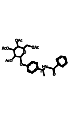 CC(=O)OCC1OC(Oc2ccc([C@H](C)NC(=O)c3ccccc3)cc2)C(OC(C)=O)C(OC(C)=O)C1OC(C)=O